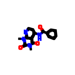 Cn1c(=O)c2c(NC(=O)c3ccccc3)ccnc2n(C)c1=O